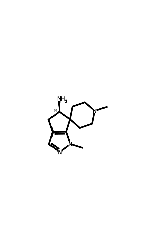 CN1CCC2(CC1)c1c(cnn1C)C[C@H]2N